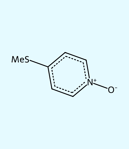 [CH2]Sc1cc[n+]([O-])cc1